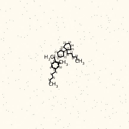 CCCCCc1ccc(C(C)[C@H]2CC[C@H](C3(CCCCC)CCCCC3)CC2)c(C)c1